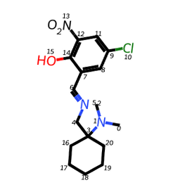 CN(C)C1(C/N=C/c2cc(Cl)cc([N+](=O)[O-])c2O)CCCCC1